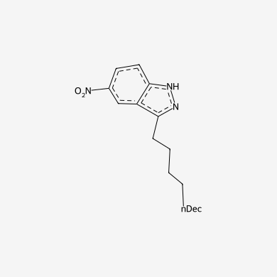 CCCCCCCCCCCCCCc1n[nH]c2ccc([N+](=O)[O-])cc12